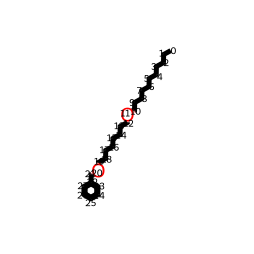 CCCCCCCCCCCOCCCCCCCCOCc1ccccc1